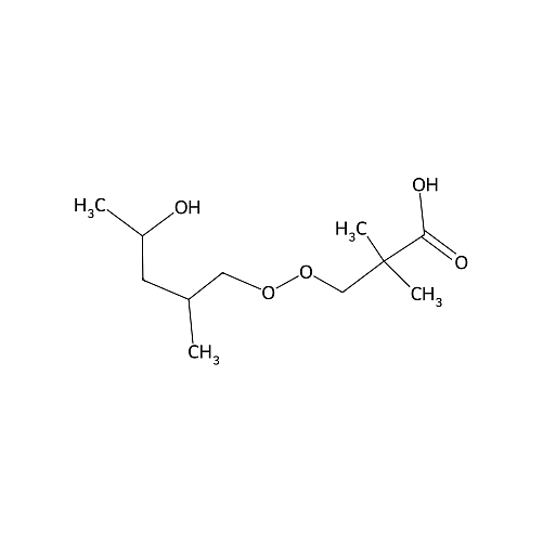 CC(O)CC(C)COOCC(C)(C)C(=O)O